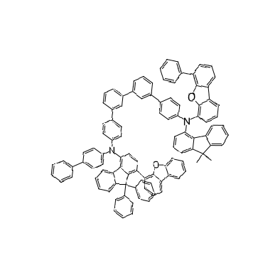 CC1(C)c2ccccc2-c2c(N(c3ccc(-c4cccc(-c5cccc(-c6ccc(N(c7ccc(-c8ccccc8)cc7)c7ccc(-c8cccc9c8oc8ccccc89)c8c7-c7ccccc7C8(c7ccccc7)c7ccccc7)cc6)c5)c4)cc3)c3cccc4c3oc3c(-c5ccccc5)cccc34)cccc21